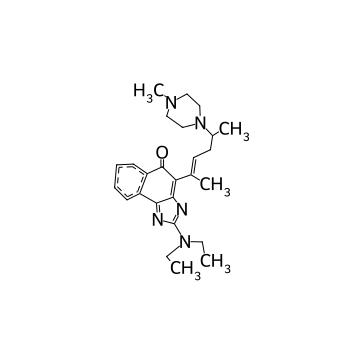 CCN(CC)C1=NC2=C(/C(C)=C/CC(C)N3CCN(C)CC3)C(=O)c3ccccc3C2=N1